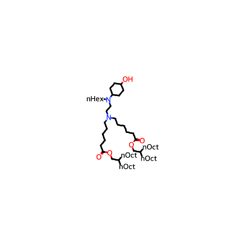 CCCCCCCCC(CCCCCCCC)COC(=O)CCCCCN(CCCCCC(=O)OCC(CCCCCCCC)CCCCCCCC)CCN(CCCCCC)C1CCC(O)CC1